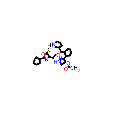 CC(=O)Oc1c[nH]nc1-c1ccccc1C(OCCc1nc(-c2ccccc2)oc1C)c1cccnc1